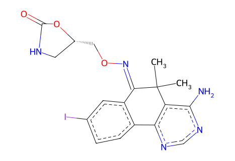 CC1(C)/C(=N/OC[C@@H]2CNC(=O)O2)c2cc(I)ccc2-c2ncnc(N)c21